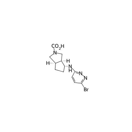 O=C(O)N1C[C@@H]2CC[C@@H](Nc3ccc(Br)nn3)[C@@H]2C1